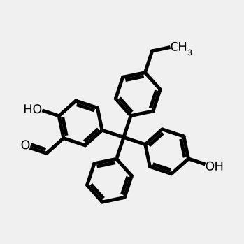 CCc1ccc(C(c2ccccc2)(c2ccc(O)cc2)c2ccc(O)c(C=O)c2)cc1